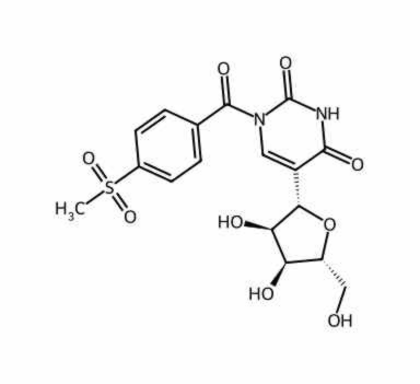 CS(=O)(=O)c1ccc(C(=O)n2cc([C@@H]3O[C@H](CO)[C@@H](O)[C@H]3O)c(=O)[nH]c2=O)cc1